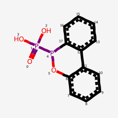 O=P(O)(O)P1Oc2ccccc2-c2ccccc21